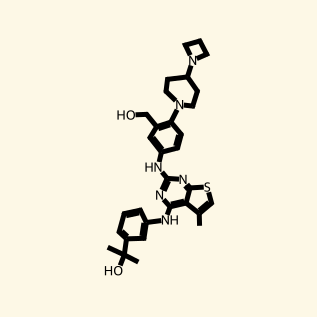 Cc1csc2nc(Nc3ccc(N4CCC(N5CCC5)CC4)c(CO)c3)nc(Nc3cccc(C(C)(C)O)c3)c12